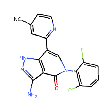 N#Cc1ccnc(-c2cn(-c3c(F)cccc3F)c(=O)c3c(N)n[nH]c23)c1